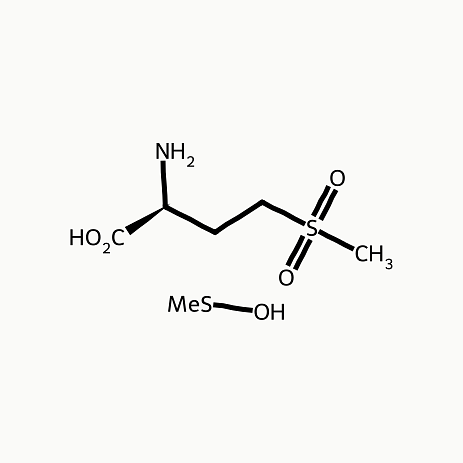 CS(=O)(=O)CC[C@H](N)C(=O)O.CSO